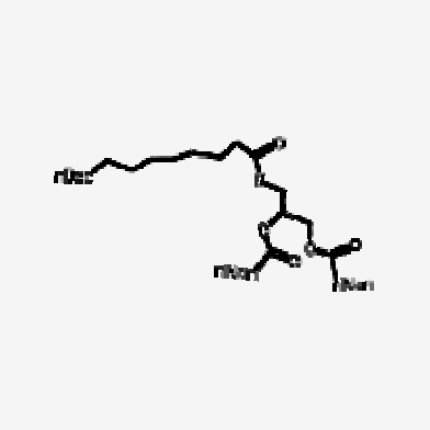 CCCCCCCCCCCCCCCCCC(=O)OCC(COC(=O)CCCCCCCCC)OC(=O)CCCCCCCCC